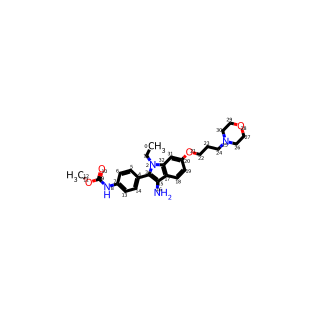 CCn1c(-c2ccc(NC(=O)OC)cc2)c(N)c2ccc(OCCCN3CCOCC3)cc21